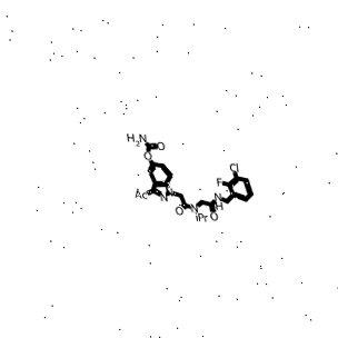 CC(=O)c1nn(CC(=O)N(CC(=O)NCc2cccc(Cl)c2F)C(C)C)c2ccc(OC(N)=O)cc12